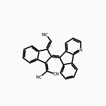 N#C/C=C1/C(=C2/c3ccccc3-c3ncccc32)C(=C(C#N)C#N)c2ccccc21